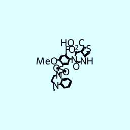 COc1cc(F)c(-n2c(=O)[nH]c3csc(C(=O)O)c3c2=O)cc1S(=O)(=O)N1CCN(C)c2ccccc21